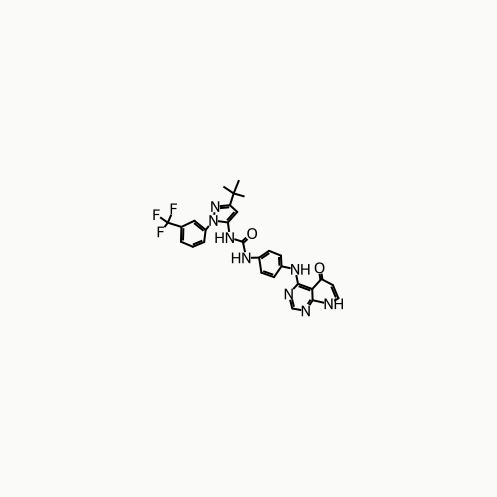 CC(C)(C)c1cc(NC(=O)Nc2ccc(Nc3ncnc4[nH]ccc(=O)c34)cc2)n(-c2cccc(C(F)(F)F)c2)n1